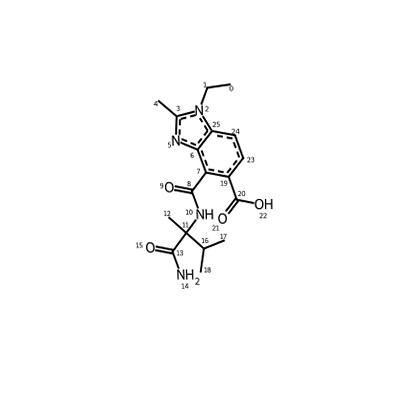 CCn1c(C)nc2c(C(=O)NC(C)(C(N)=O)C(C)C)c(C(=O)O)ccc21